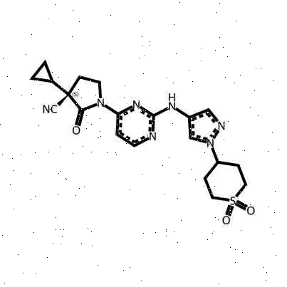 N#C[C@@]1(C2CC2)CCN(c2ccnc(Nc3cnn(C4CCS(=O)(=O)CC4)c3)n2)C1=O